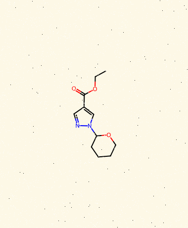 CCOC(=O)c1cnn(C2CCCCO2)c1